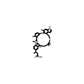 CC(CC(=O)O)c1cccc([C@@]2(C)CCCC(C)(C)CSCCc3c(c(F)cc4[nH]ccc34)Sc3ccc(F)c(c3)-c3nc2nn3C)c1